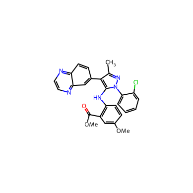 COC(=O)c1cc(OC)ccc1Nc1c(-c2ccc3nccnc3c2)c(C)nn1-c1ccccc1Cl